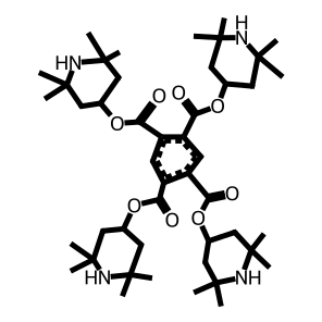 CC1(C)CC(OC(=O)c2cc(C(=O)OC3CC(C)(C)NC(C)(C)C3)c(C(=O)OC3CC(C)(C)NC(C)(C)C3)cc2C(=O)OC2CC(C)(C)NC(C)(C)C2)CC(C)(C)N1